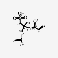 C=C(F)F.C=CC(=O)NC(C)(C)CS(=O)(=O)O